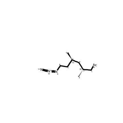 CC(=O)C[C@H](C)C[C@H](C)CCN=[N+]=[N-]